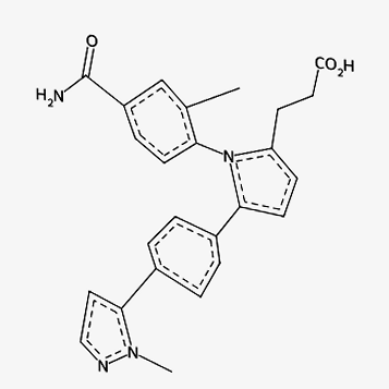 Cc1cc(C(N)=O)ccc1-n1c(CCC(=O)O)ccc1-c1ccc(-c2ccnn2C)cc1